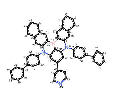 c1ccc(-c2ccc(N3c4cc5ccccc5cc4B4c5cc6ccccc6cc5N(c5ccc(-c6ccccc6)cc5)c5cc(-c6ccncc6)cc3c54)cc2)cc1